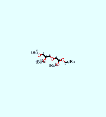 CC(C)(C)COC(COCC(COC(C)(C)C)OC(C)(C)C)OC(C)(C)C